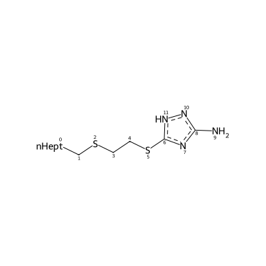 CCCCCCCCSCCSc1nc(N)n[nH]1